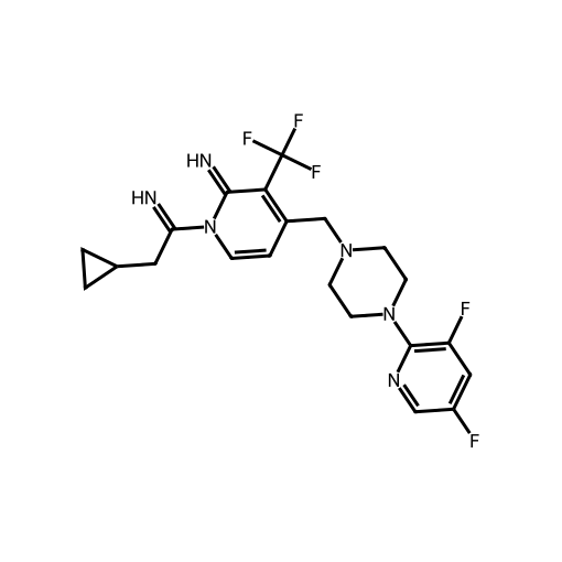 N=C(CC1CC1)n1ccc(CN2CCN(c3ncc(F)cc3F)CC2)c(C(F)(F)F)c1=N